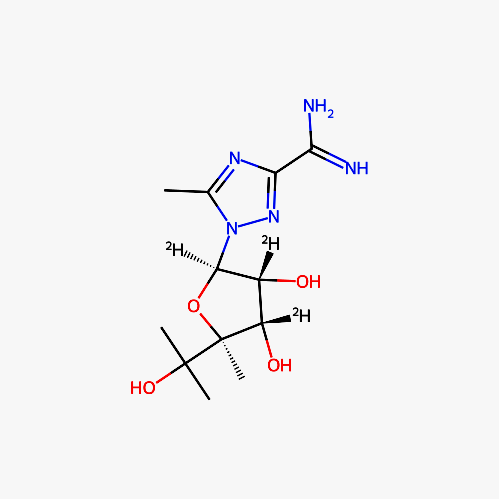 [2H][C@]1(O)[C@@]([2H])(O)[C@]([2H])(n2nc(C(=N)N)nc2C)O[C@]1(C)C(C)(C)O